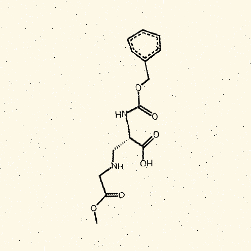 COC(=O)CNC[C@H](NC(=O)OCc1ccccc1)C(=O)O